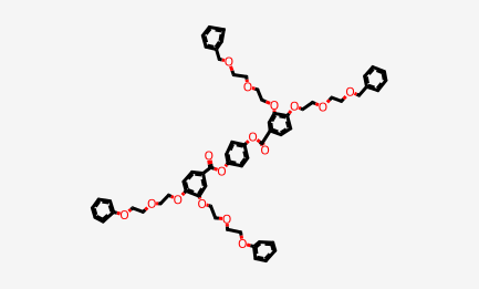 O=C(Oc1ccc(OC(=O)c2ccc(OCCOCCOc3ccccc3)c(OCCOCCOc3ccccc3)c2)cc1)c1ccc(OCCOCCOCc2ccccc2)c(OCCOCCOCc2ccccc2)c1